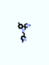 Cc1ccc2c(c1)C1(CCN(C)C1)CN2CCc1ccc(C)nc1